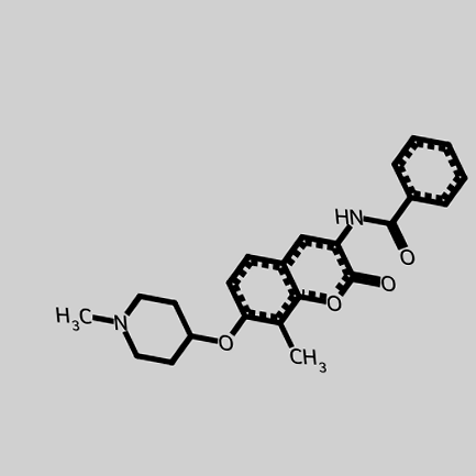 Cc1c(OC2CCN(C)CC2)ccc2cc(NC(=O)c3ccccc3)c(=O)oc12